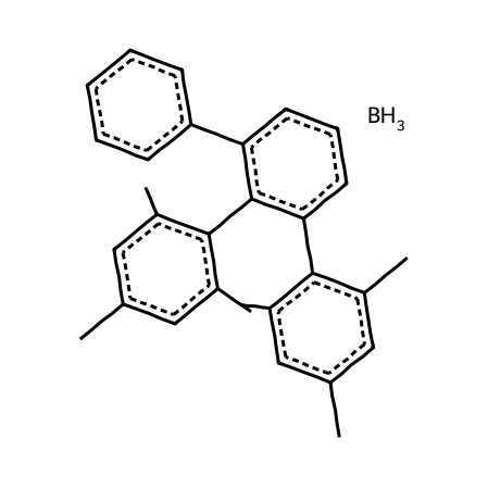 B.Cc1cc(C)c(-c2cccc(-c3ccccc3)c2-c2c(C)cc(C)cc2C)c(C)c1